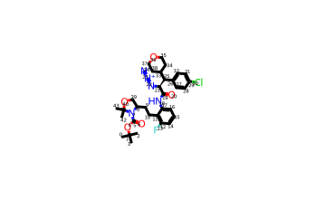 CC(C)(C)OC(=O)N1C(CCc2c(F)cccc2NC(=O)[C@@H](N=[N+]=[N-])C(c2ccc(Cl)cc2)C2CCOCC2)COC1(C)C